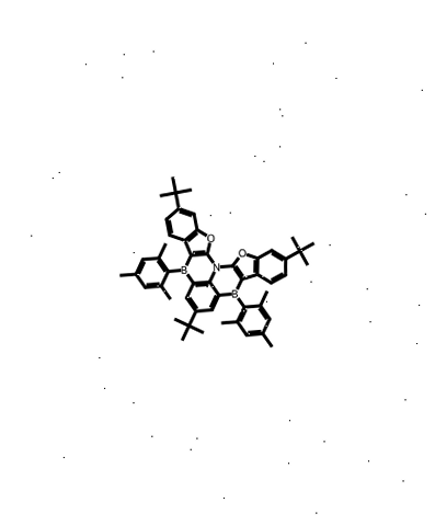 Cc1cc(C)c(B2c3cc(C(C)(C)C)cc4c3N(c3oc5cc(C(C)(C)C)ccc5c32)c2oc3cc(C(C)(C)C)ccc3c2B4c2c(C)cc(C)cc2C)c(C)c1